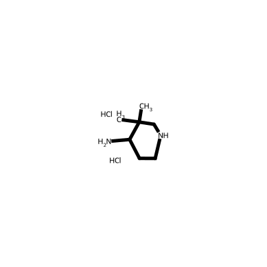 CC1(C)CNCCC1N.Cl.Cl